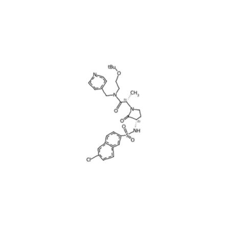 C[C@@H](C(=O)N(CCOC(C)(C)C)Cc1ccncc1)N1CC[C@H](NS(=O)(=O)c2ccc3cc(Cl)ccc3c2)C1=O